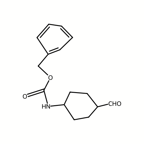 O=CC1CCC(NC(=O)OCc2ccccc2)CC1